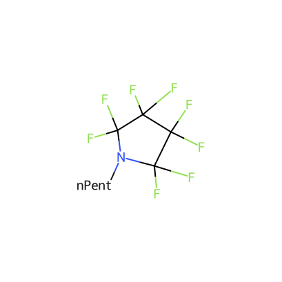 CCCCCN1C(F)(F)C(F)(F)C(F)(F)C1(F)F